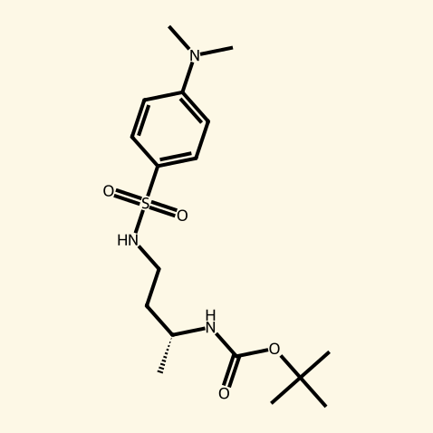 C[C@H](CCNS(=O)(=O)c1ccc(N(C)C)cc1)NC(=O)OC(C)(C)C